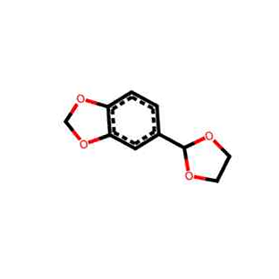 c1cc2c(cc1C1OCCO1)OCO2